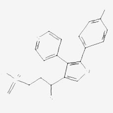 CS(=O)(=O)CCC(N)c1c[nH]c(-c2ccc(F)cc2)c1-c1ccncc1